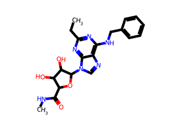 CCc1nc(NCc2ccccc2)c2ncn(C3OC(C(=O)NC)C(O)C3O)c2n1